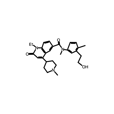 CCn1c(=O)cc(C2CCN(C)CC2)c2cc(C(=O)N(C)c3ccc(C)c(CCO)c3)ccc21